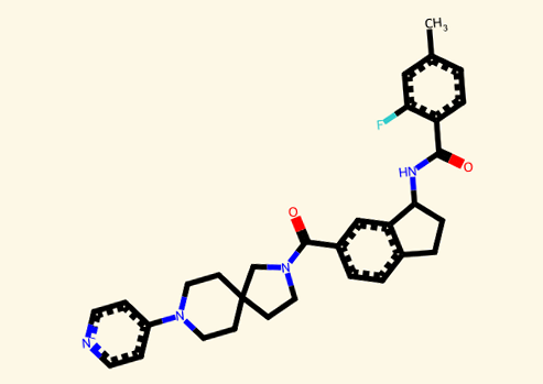 Cc1ccc(C(=O)NC2CCc3ccc(C(=O)N4CCC5(CCN(c6ccncc6)CC5)C4)cc32)c(F)c1